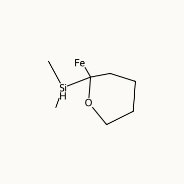 C[SiH](C)[C]1([Fe])CCCCO1